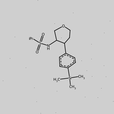 CC(C)S(=O)(=O)NC1COCCC1c1ccc([Si](C)(C)C)cc1